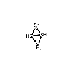 [SiH2]1[SiH]2[SiH2][SiH]12